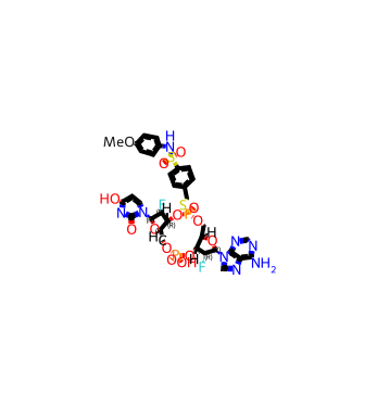 COc1ccc(NS(=O)(=O)c2ccc(CSP3(=O)OC[C@H]4O[C@@H](n5cnc6c(N)ncnc65)[C@H](F)[C@@H]4OP(=O)(O)OC[C@H]4O[C@@H](n5ccc(O)nc5=O)[C@H](F)[C@@H]4O3)cc2)cc1